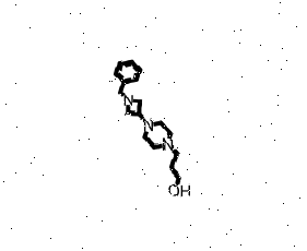 OCCCN1CCN(C2CN(Cc3ccccc3)C2)CC1